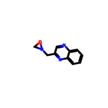 c1ccc2nc(CN3CO3)cnc2c1